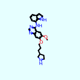 COc1cc2c(Nc3cccc4cc[nH]c34)ncnc2cc1OCCCC1CCNC1